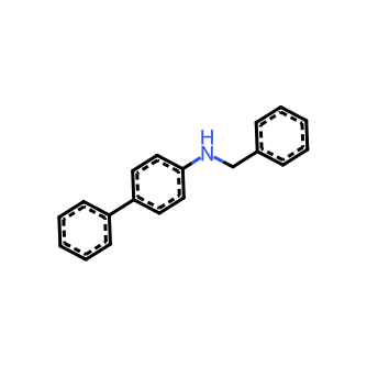 c1ccc(CNc2ccc(-c3ccccc3)cc2)cc1